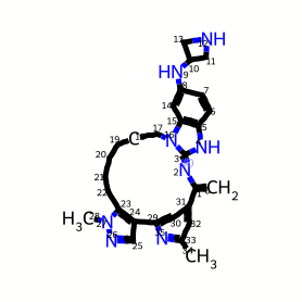 C=C1/N=C2\Nc3ccc(NC4CNC4)cc3N2CCCCCCc2c(cnn2C)-c2cc1cc(C)n2